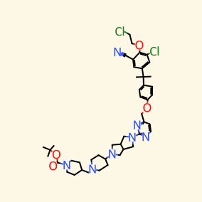 CC(C)(C)OC(=O)N1CCC(CN2CCC(N3CC4CN(c5nccc(COc6ccc(C(C)(C)c7cc(Cl)c(OCCCl)c(C#N)c7)cc6)n5)CC4C3)CC2)CC1